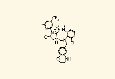 Cc1cc(C(F)(F)F)cc(N2C(=O)C[C@@H]3CN(Cc4ccc5c(c4)NCCO5)c4c(Cl)cccc4N(C)C(=O)[C@H]32)n1